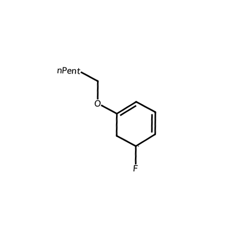 CCCCCCOC1=CC=C[C](F)C1